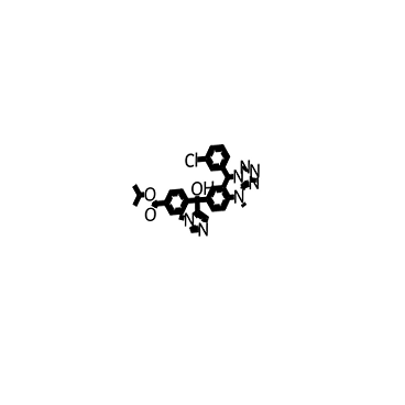 CC(C)OC(=O)c1ccc(C(O)(c2ccc3c(c2)C(c2cccc(Cl)c2)n2nnnc2N3C)c2cncn2C)cc1